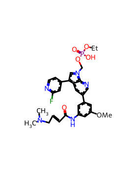 CCOP(=O)(O)OCn1cc(-c2ccnc(F)c2)c2cc(-c3cc(NC(=O)C=CCN(C)C)cc(OC)c3)cnc21